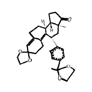 CC1(c2ccc([C@H]3C[C@]4(C)C(=O)CC[C@H]4[C@@H]4CCC5=CC6(CCC5=C43)OCCO6)cc2)OCCO1